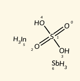 O=S(=O)(O)O.[InH3].[SbH3]